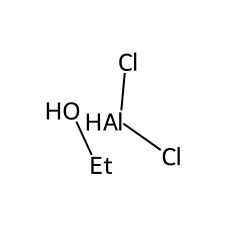 CCO.[Cl][AlH][Cl]